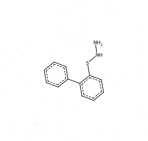 NNSc1ccccc1-c1ccccc1